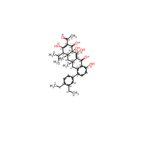 CCc1ccc(-c2ccc(O)c3c2C[C@]2(C)C[C@]4(C)C(C(C)C)C(O)=C(C(C)=O)C(=O)[C@]4(O)C(O)=C2C3=O)cc1CC